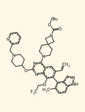 C=Cc1cc2c(N3CCC4(CC3)CN(C(=O)OC(C)(C)C)C4)nc(OC3CCN(Cc4ccccn4)CC3)nc2c(OCC(F)(F)F)c1-c1c(C)ccc2[nH]ncc12